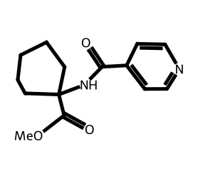 COC(=O)C1(NC(=O)c2ccncc2)CCCCC1